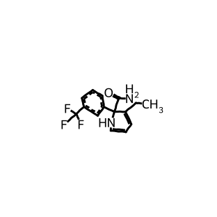 CCC1=CC=CNC1(C(N)=O)c1cccc(C(F)(F)F)c1